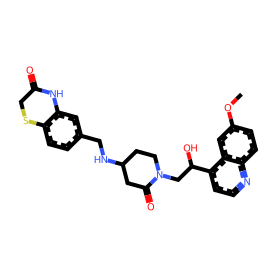 COc1ccc2nccc(C(O)CN3CCC(NCc4ccc5c(c4)NC(=O)CS5)CC3=O)c2c1